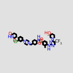 Cc1cc(S(=O)(=O)NC2CCC(CN3CCN(c4ccc([C@H]5CCC(=O)NC5=O)c(Cl)c4)CC3)CC2)ccc1Nc1ncc(C(F)(F)F)c(N2CCC[C@](C)(O)C2)n1